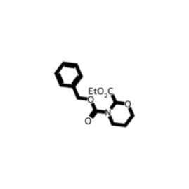 CCOC(=O)C1OCCCN1C(=O)OCc1ccccc1